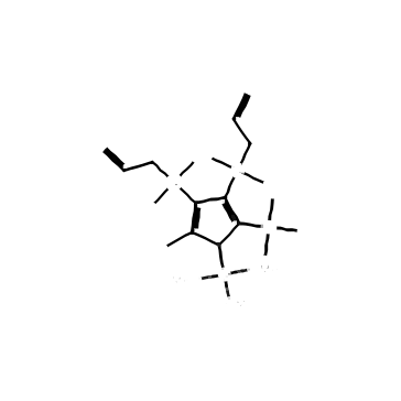 C=CC[Si](C)(C)C1=C(C)C([Si](OC)(OC)OC)[C]([Pt]([CH3])([CH3])[CH3])=C1[Si](C)(C)CC=C